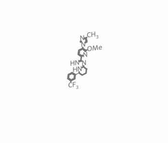 COc1nc(C(=N)/N=C2/CCC[C@@H](c3cccc(C(F)(F)F)c3)N2)ccc1-n1cnc(C)c1